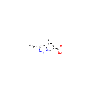 Cc1cc(B(O)O)cnc1C[C@H](N)C(=O)O